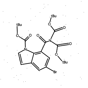 CC(C)(C)OC(=O)N(C(=O)OC(C)(C)C)C(=O)c1cc(Br)cc2ccn(C(=O)OC(C)(C)C)c12